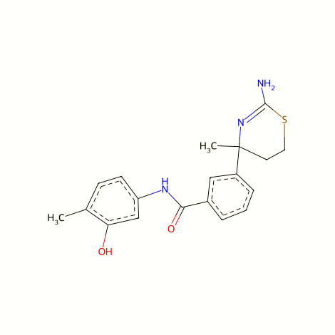 Cc1ccc(NC(=O)c2cccc(C3(C)CCSC(N)=N3)c2)cc1O